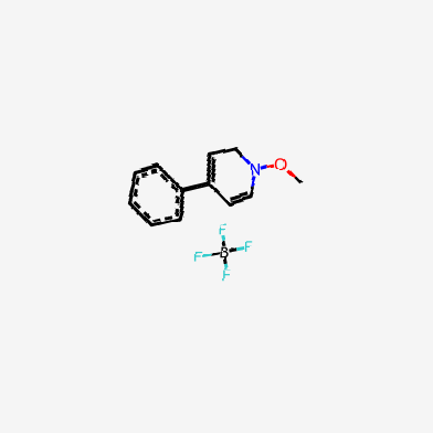 CON1C=CC(c2ccccc2)=CC1.F[B-](F)(F)F